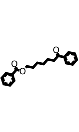 O=C(CCCCCCOC(=O)c1ccccc1)c1ccccc1